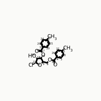 Cc1ccc(C(=O)OCC2O[C@@H](Cl)[C@H](O)[C@@H]2OC(=O)c2ccc(C)cc2)cc1